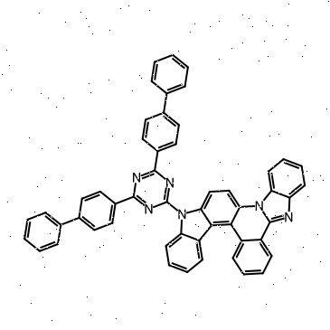 c1ccc(-c2ccc(-c3nc(-c4ccc(-c5ccccc5)cc4)nc(-n4c5ccccc5c5c6c7ccccc7c7nc8ccccc8n7c6ccc54)n3)cc2)cc1